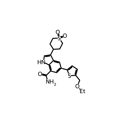 CCOCc1ccc(-c2cc(C(N)=O)c3[nH]cc(C4CCS(=O)(=O)CC4)c3c2)s1